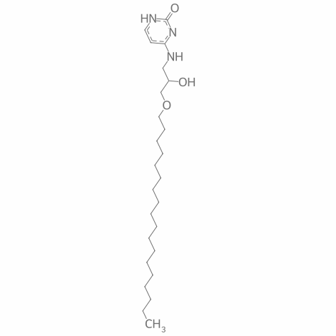 CCCCCCCCCCCCCCCCCCOCC(O)CNc1cc[nH]c(=O)n1